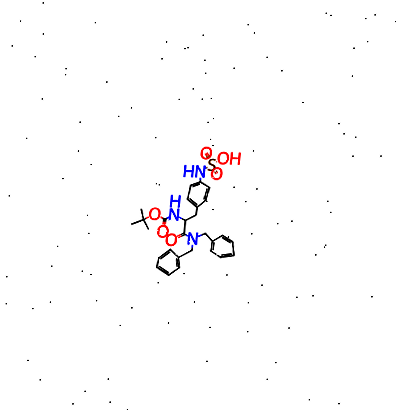 CC(C)(C)OC(=O)NC(Cc1ccc(NS(=O)(=O)O)cc1)C(=O)N(Cc1ccccc1)Cc1ccccc1